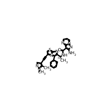 Cc1c(C#Cc2csc3nc([C@H](C)NC(=O)c4c(N)nn5cccnc45)c(-c4ccccc4)n23)cnn1C